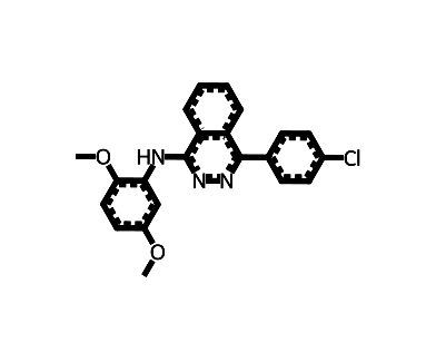 COc1ccc(OC)c(Nc2nnc(-c3ccc(Cl)cc3)c3ccccc23)c1